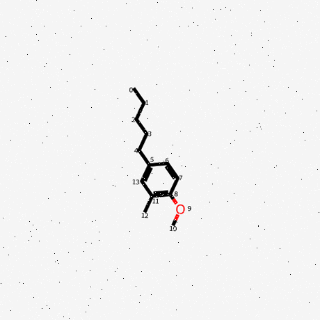 CCCCCc1ccc(OC)c(C)c1